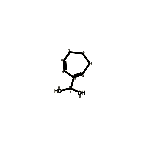 OB(O)C1=CCCCC=C1